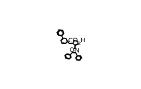 O=C(O)C1(CC2CCC=C2c2nc(-c3ccccc3)c(-c3ccccc3)o2)C=CC=C(c2ccccc2)C1